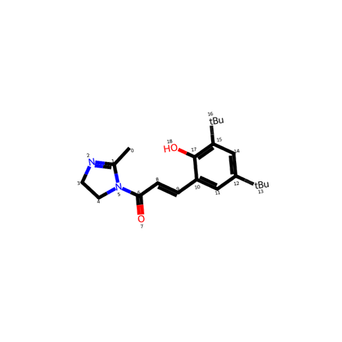 CC1=NCCN1C(=O)/C=C/c1cc(C(C)(C)C)cc(C(C)(C)C)c1O